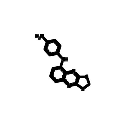 Nc1ccc(Nc2cccc3nc4c(nc23)SCS4)cc1